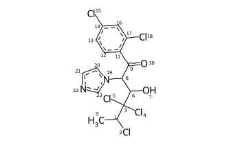 CC(Cl)C(Cl)(Cl)C(O)C(C(=O)c1ccc(Cl)cc1Cl)n1ccnc1